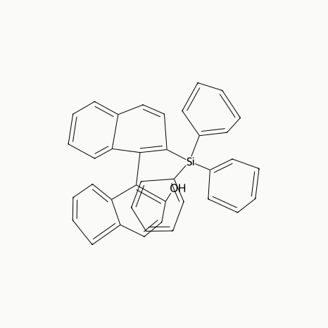 Oc1ccc2ccccc2c1-c1c([Si](c2ccccc2)(c2ccccc2)c2ccccc2)ccc2ccccc12